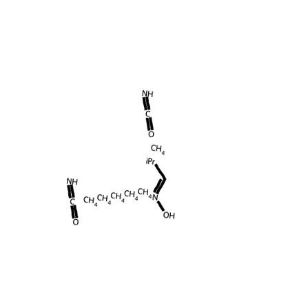 C.C.C.C.C.C.CC(C)C=NO.N=C=O.N=C=O